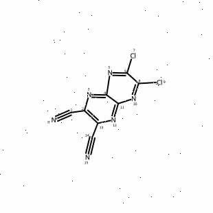 N#Cc1nc2nc(Cl)c(Cl)nc2nc1C#N